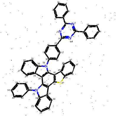 c1ccc(-c2nc(-c3ccccc3)nc(-c3ccc(-n4c5ccccc5c5c6c(c7ccccc7n6-c6ccccc6)c6sc7ccccc7c6c54)cc3)n2)cc1